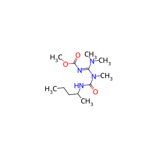 CCCC(C)NC(=O)N(C)C(=NC(=O)OC)N(C)C